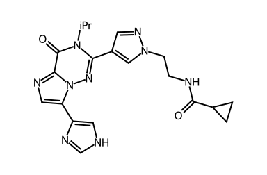 CC(C)n1c(-c2cnn(CCNC(=O)C3CC3)c2)nn2c(-c3c[nH]cn3)cnc2c1=O